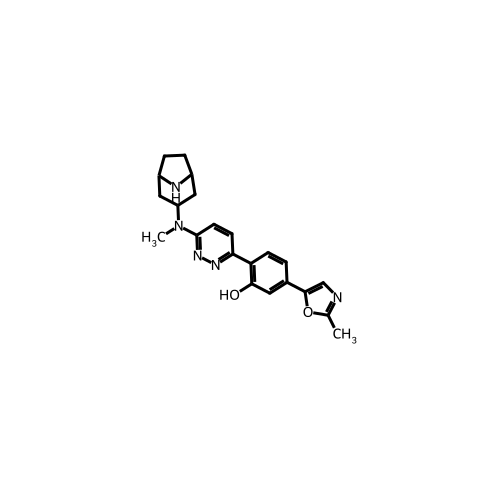 Cc1ncc(-c2ccc(-c3ccc(N(C)C4CC5CCC(C4)N5)nn3)c(O)c2)o1